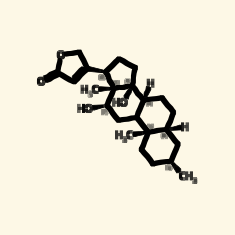 C[C@H]1CC[C@]2(C)C3C[C@@H](O)[C@]4(C)[C@@H](C5=CC(=O)OC5)CC[C@]4(O)[C@@H]3CC[C@@H]2C1